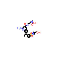 CCC(c1cccc(S(=O)(=O)N2CC(CO)C2)c1)c1ccc2c(c1)N=C(N)CC(C(=O)NCCCN(C)C(=O)O)=C2